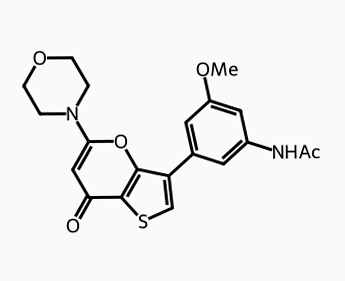 COc1cc(NC(C)=O)cc(-c2csc3c(=O)cc(N4CCOCC4)oc23)c1